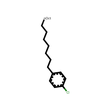 CCCCCCCCCCCCCCCc1ccc(Cl)cc1